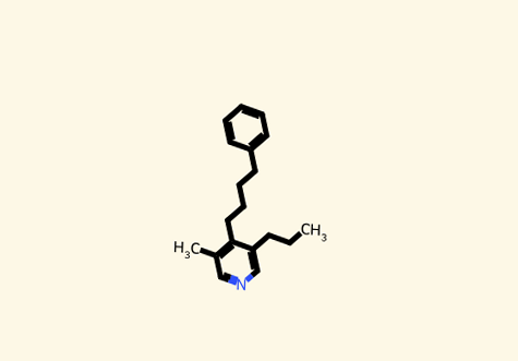 CCCc1cncc(C)c1CCCCc1ccccc1